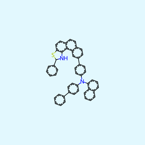 c1ccc(-c2ccc(N(c3ccc(-c4ccc5ccc6ccc7c(c6c5c4)NC(c4ccccc4)S7)cc3)c3cccc4ccccc34)cc2)cc1